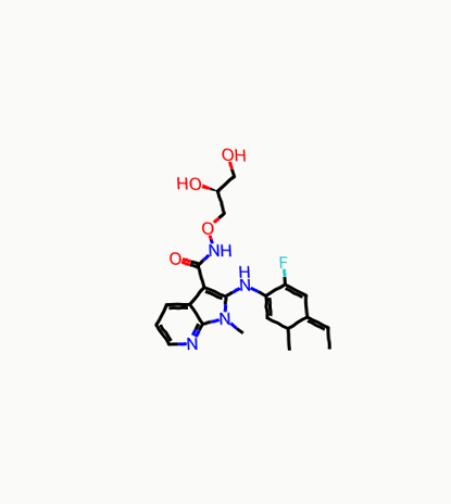 C/C=C1/C=C(F)C(Nc2c(C(=O)NOC[C@@H](O)CO)c3cccnc3n2C)=CC1C